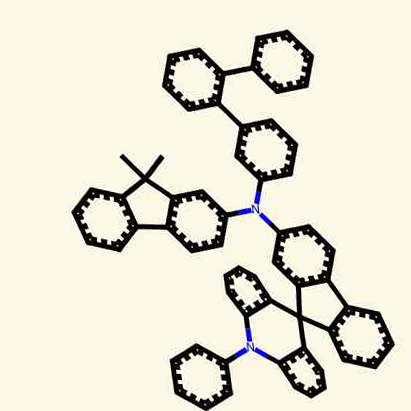 CC1(C)c2ccccc2-c2ccc(N(c3cccc(-c4ccccc4-c4ccccc4)c3)c3ccc4c(c3)C3(c5ccccc5-4)c4ccccc4N(c4ccccc4)c4ccccc43)cc21